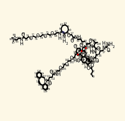 CCCC1O[C@@H]2C[C@H]3[C@@H]4C[C@H](F)C5=CC(=O)C=C[C@]5(C)[C@@]4(F)[C@@H](O)C[C@]3(C)[C@]2(C(=O)CNC(=O)[C@H](CCCNC(N)=O)NC(=O)[C@@H](NC(=O)[C@@H](CCCCNC(=O)COC2CCCCC/C(NCCOCCOCCOCCOCCC(=O)NCC[N+](C)(C)C)=C\2N)NC(=O)CCOCCOCCOCCOCCNC(=O)CCC(=O)N2Cc3ccccc3C#Cc3ccccc32)C(C)C)O1